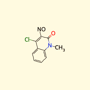 Cn1c(=O)c(N=O)c(Cl)c2ccccc21